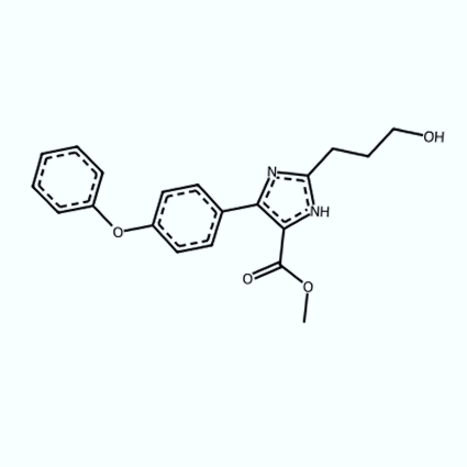 COC(=O)c1[nH]c(CCCO)nc1-c1ccc(Oc2ccccc2)cc1